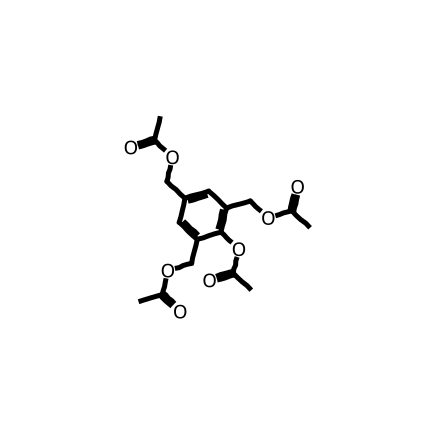 CC(=O)OCc1cc(COC(C)=O)c(OC(C)=O)c(COC(C)=O)c1